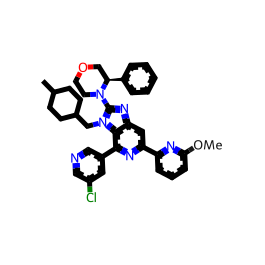 COc1cccc(-c2cc3nc(N4CCOC[C@H]4c4ccccc4)n(CC4CCC(C)CC4)c3c(-c3cncc(Cl)c3)n2)n1